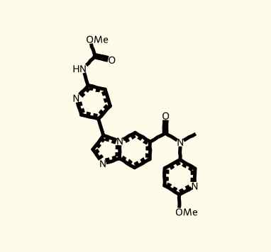 COC(=O)Nc1ccc(-c2cnc3ccc(C(=O)N(C)c4ccc(OC)nc4)cn23)cn1